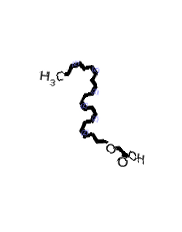 CC/C=C\C/C=C\C/C=C\C/C=C\C/C=C\C/C=C\CCCOCC(=O)O